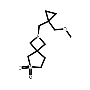 COCC1(CN2CC3(CCS(=O)(=O)C3)C2)CC1